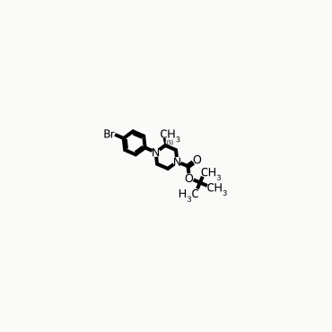 C[C@H]1CN(C(=O)OC(C)(C)C)CCN1c1ccc(Br)cc1